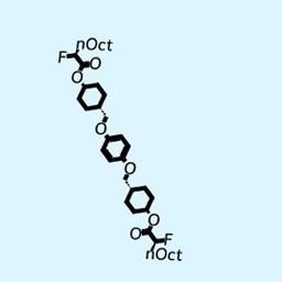 CCCCCCCC[C@H](F)C(=O)O[C@H]1CC[C@H](COc2ccc(OC[C@H]3CC[C@H](OC(=O)[C@@H](F)CCCCCCCC)CC3)cc2)CC1